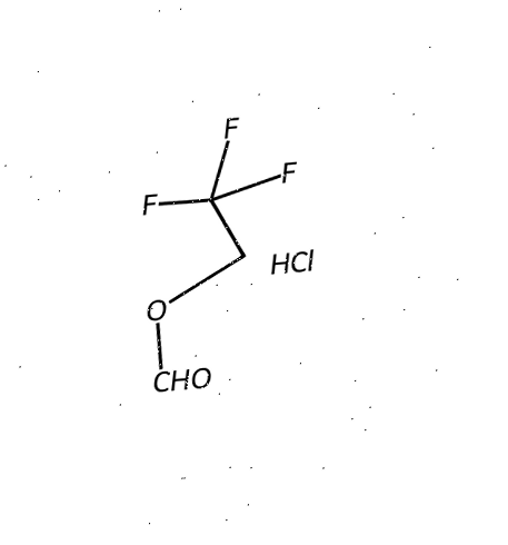 Cl.O=COCC(F)(F)F